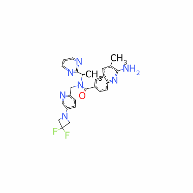 Cc1cc2cc(C(=O)N(Cc3ccc(N4CC(F)(F)C4)cn3)[C@H](C)c3ncccn3)ccc2nc1N